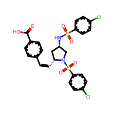 O=C(O)c1ccc(/C=C\[C@@H]2C[C@@H](NS(=O)(=O)c3ccc(Cl)cc3)CN2S(=O)(=O)c2ccc(Cl)cc2)cc1